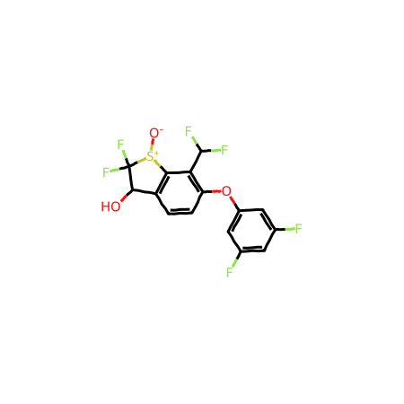 [O-][S+]1c2c(ccc(Oc3cc(F)cc(F)c3)c2C(F)F)C(O)C1(F)F